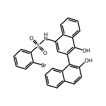 O=S(=O)(Nc1cc(-c2c(O)ccc3ccccc23)c(O)c2ccccc12)c1ccccc1Br